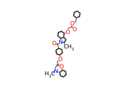 Cc1cc2c(OCC(=O)OCc3ccccc3)cccc2n1C(=O)c1ccc(OC[C@@H]2CN(C)c3ccccc3O2)cc1